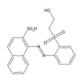 O=S(=O)(O)c1ccc2ccccc2c1N=Nc1ccccc1S(=O)(=O)CCO